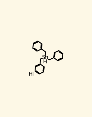 I.c1ccc([CH2][SnH]([CH2]c2ccccc2)[CH2]c2ccccc2)cc1